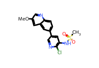 COc1cnc2ccc(-c3cnc(Cl)c(NS(C)(=O)=O)c3)cc2c1